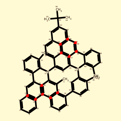 Cc1ccc(-c2ccccc2)cc1N(c1c(C)cccc1-c1ccccc1)c1cc(N(c2cc(-c3ccccc3)ccc2C)c2c(C)cccc2-c2ccccc2)c2ccc3cc(C(C)(C)C)cc4ccc1c2c43